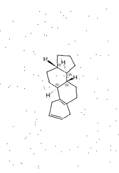 C1=CCC2=C(C1)CC[C@H]1[C@@H]3CCC[C@H]3CC[C@H]21